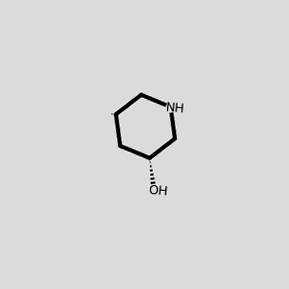 O[C@@H]1C[CH]CNC1